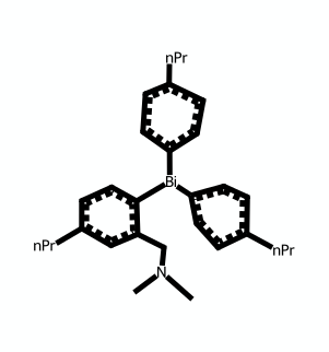 CCCc1cc[c]([Bi]([c]2ccc(CCC)cc2)[c]2ccc(CCC)cc2CN(C)C)cc1